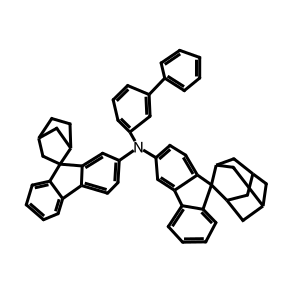 c1ccc(-c2cccc(N(c3ccc4c(c3)-c3ccccc3C43C4CC5CC(C4)CC3C5)c3ccc4c(c3)C3(CC5CCC3C5)c3ccccc3-4)c2)cc1